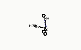 CC1(C)C(/C=C/C=C/C=C/Nc2ccccc2)=[N+](CCCCSOOO)c2ccc3ccccc3c21